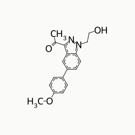 COc1ccc(-c2ccc3c(c2)c(C(C)=O)nn3CCO)cc1